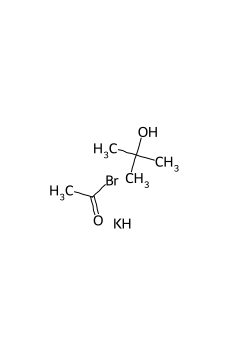 CC(=O)Br.CC(C)(C)O.[KH]